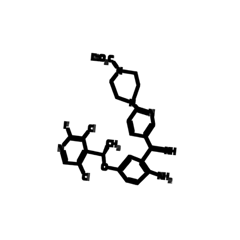 CCOC(=O)N1CCN(c2ccc(C(=N)c3cc(O[C@H](C)c4c(Cl)cnc(F)c4Cl)ccc3N)cn2)CC1